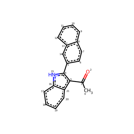 CC(=O)c1c(-c2ccc3ccccc3c2)[nH]c2ccccc12